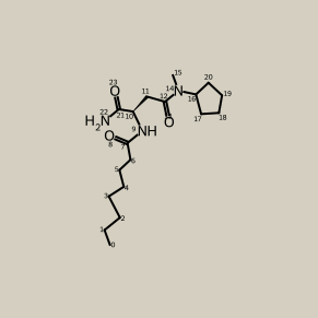 CCCCCCCC(=O)N[C@H](CC(=O)N(C)C1CCCC1)C(N)=O